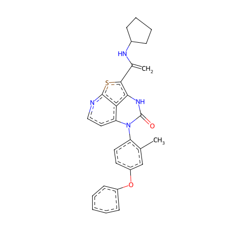 C=C(NC1CCCC1)c1sc2nccc3c2c1NC(=O)N3c1ccc(Oc2ccccc2)cc1C